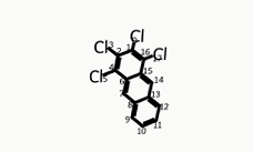 Clc1c(Cl)c(Cl)c2cc3ccccc3cc2c1Cl